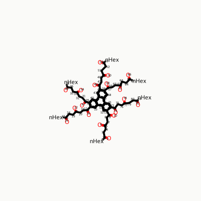 CCCCCCC(=O)CCC(=O)CCC(=O)c1cc2c3cc(C(=O)CCC(=O)CCC(=O)CCCCCC)c(C(=O)CCC(=O)CCC(=O)CCCCCC)cc3c3cc(C(=O)CCC(=O)CCC(=O)CCCCCC)c(C(=O)CCC(=O)CCC(=O)CCCCCC)cc3c2cc1C(=O)CCC(=O)CCC(=O)CCCCCC